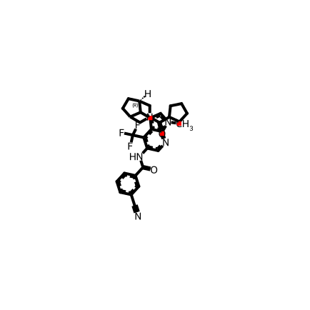 Cn1cc(C2C3CC[C@H]2CN(C(=O)C2CCCC2)C3)c2c(C(F)(F)F)c(NC(=O)c3cccc(C#N)c3)cnc21